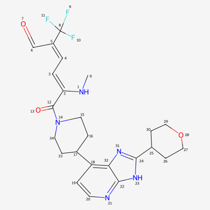 CN/C(=C\C=C(/C=O)C(F)(F)F)C(=O)N1CCC(c2ccnc3[nH]c(C4CCOCC4)nc23)CC1